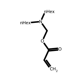 C=CC(=O)OCN(CCCCCC)CCCCCC